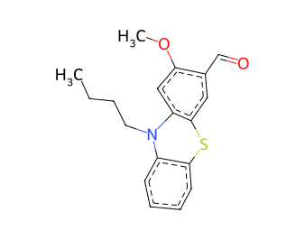 CCCCN1c2ccccc2Sc2cc(C=O)c(OC)cc21